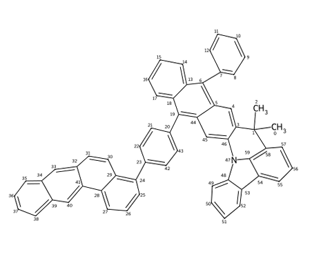 CC1(C)c2cc3c(-c4ccccc4)c4ccccc4c(-c4ccc(-c5cccc6c5ccc5cc7ccccc7cc56)cc4)c3cc2-n2c3ccccc3c3cccc1c32